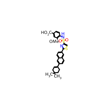 COc1cc(C(=O)O)ccc1NS(=O)(=O)c1csc(-c2ccc3cc(C4=CCC(C)(C)CC4)ccc3c2)n1